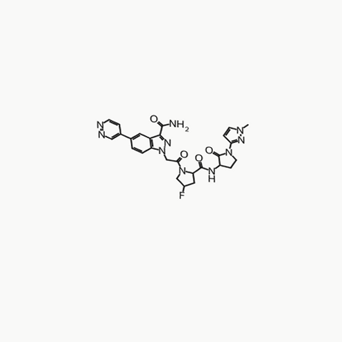 Cn1ccc(N2CCC(NC(=O)C3CC(F)CN3C(=O)Cn3nc(C(N)=O)c4cc(-c5ccnnc5)ccc43)C2=O)n1